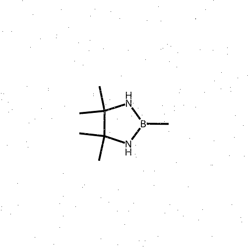 CB1NC(C)(C)C(C)(C)N1